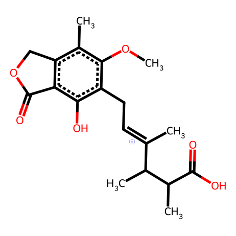 COc1c(C)c2c(c(O)c1C/C=C(\C)C(C)C(C)C(=O)O)C(=O)OC2